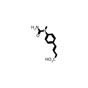 CN(C(N)=O)c1ccc(C=CCC(=O)O)cc1